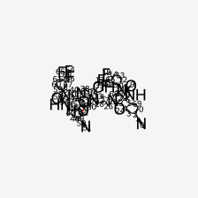 N#Cc1ccc([C@H]2NC(=O)N(c3cccc(C(F)(F)F)c3)C3=C2C(=O)N(CCC[N+](CCO)(CCO)CCCN2CC4=C(C2=O)[C@@H](c2ccc(C#N)cc2)NC(=O)N4c2cccc(C(F)(F)F)c2)C3)cc1